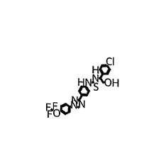 OCC(NC(=S)Nc1ccc(-c2ncn(-c3ccc(OC(F)(F)F)cc3)n2)cc1)c1ccc(Cl)cc1